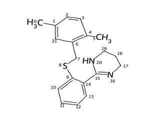 Cc1ccc(C)c(CSc2ccccc2C2=NCCCN2)c1